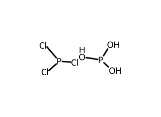 ClP(Cl)Cl.OP(O)O